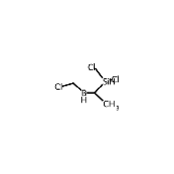 CC(BCCl)[SiH](Cl)Cl